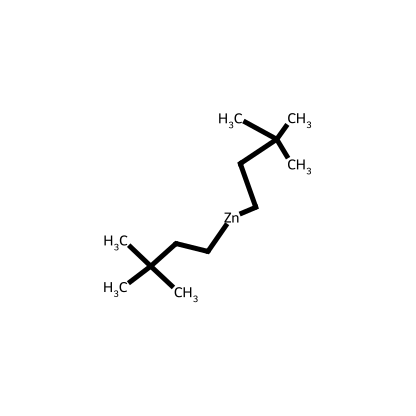 CC(C)(C)C[CH2][Zn][CH2]CC(C)(C)C